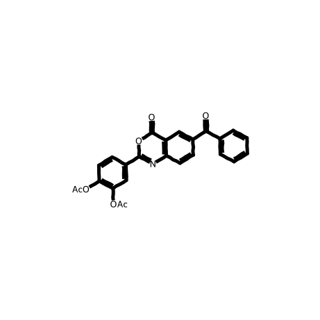 CC(=O)Oc1ccc(-c2nc3ccc(C(=O)c4ccccc4)cc3c(=O)o2)cc1OC(C)=O